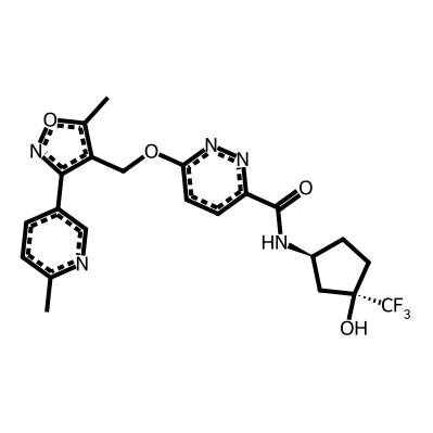 Cc1ccc(-c2noc(C)c2COc2ccc(C(=O)N[C@H]3CC[C@](O)(C(F)(F)F)C3)nn2)cn1